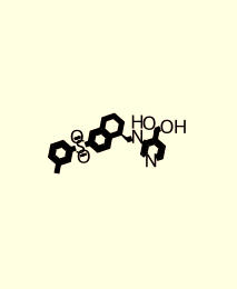 Cc1cccc(S(=O)(=O)c2ccc3c(c2)CCC[C@H]3CNc2cnccc2C(=O)O)c1